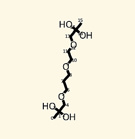 CC(O)(O)COCCCOCCOCC(C)(O)O